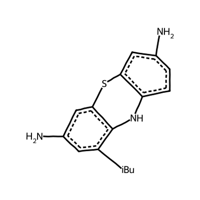 CCC(C)c1cc(N)cc2c1Nc1ccc(N)cc1S2